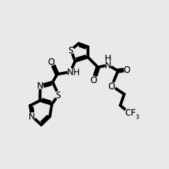 O=C(NC(=O)c1ccsc1NC(=O)c1nc2cnccc2s1)OCCC(F)(F)F